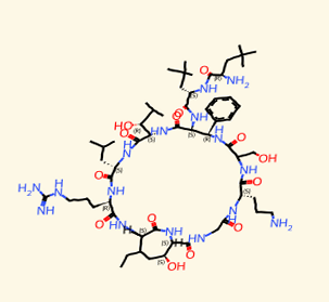 CCC1C[C@H](O)[C@@H]2NC(=O)[C@H]1NC(=O)[C@@H](CCCNC(=N)N)NC(=O)[C@H](CC(C)C)NC(=O)[C@H]([C@H](O)C(C)C)NC(=O)[C@@H](NC(=O)[C@H](CC(C)(C)C)NC(=O)[C@H](N)CC(C)(C)C)[C@@H](c1ccccc1)NC(=O)C(CO)NC(=O)[C@H](CCCN)NC(=O)CNC2=O